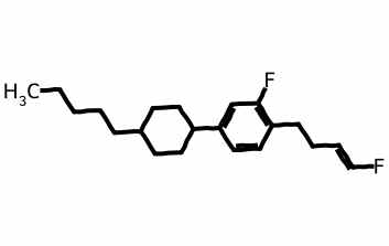 CCCCCC1CCC(c2ccc(CCC=CF)c(F)c2)CC1